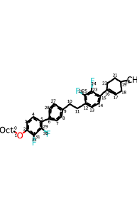 CCCCCCCCOc1ccc(-c2ccc(CCc3ccc(C4=CCC(C)CC4)c(F)c3F)cc2)c(F)c1F